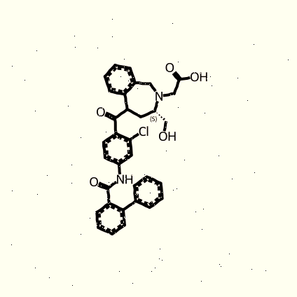 O=C(O)CN1Cc2ccccc2C(C(=O)c2ccc(NC(=O)c3ccccc3-c3ccccc3)cc2Cl)C[C@H]1CO